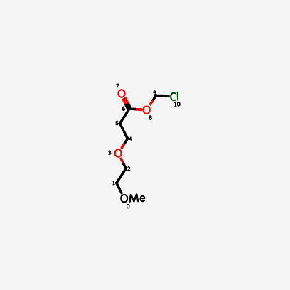 COCCOCCC(=O)OCCl